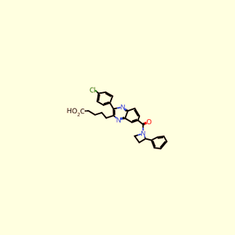 O=C(O)CCCCc1nc2cc(C(=O)N3CCC3c3ccccc3)ccc2nc1-c1ccc(Cl)cc1